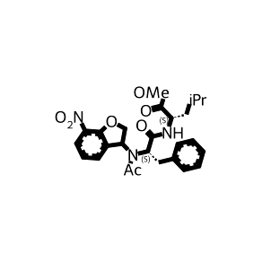 COC(=O)[C@H](CC(C)C)NC(=O)[C@H](Cc1ccccc1)N(C(C)=O)C1COc2c1cccc2[N+](=O)[O-]